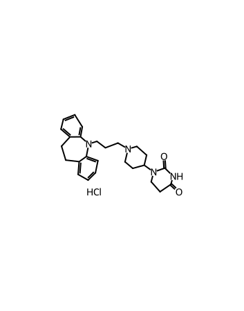 Cl.O=C1CCN(C2CCN(CCCN3c4ccccc4CCc4ccccc43)CC2)C(=O)N1